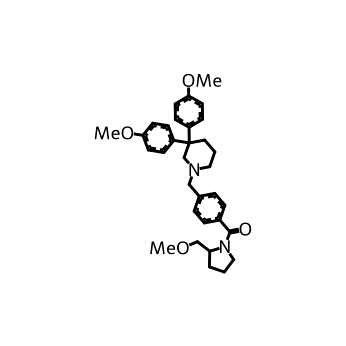 COCC1CCCN1C(=O)c1ccc(CN2CCCC(c3ccc(OC)cc3)(c3ccc(OC)cc3)C2)cc1